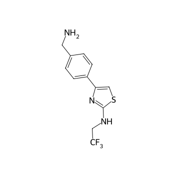 NCc1ccc(-c2csc(NCC(F)(F)F)n2)cc1